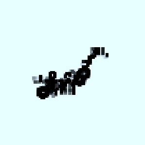 CC(C)(C)OC(=O)[C@H](CNC(=O)Nc1ccc2ccc(OCCCN)cn2c1=O)NS(=O)(=O)c1ccccc1